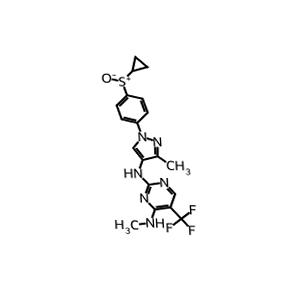 CNc1nc(Nc2cn(-c3ccc([S+]([O-])C4CC4)cc3)nc2C)ncc1C(F)(F)F